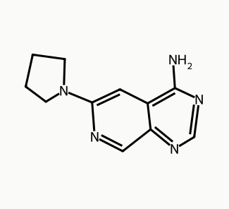 Nc1ncnc2cnc(N3CCCC3)cc12